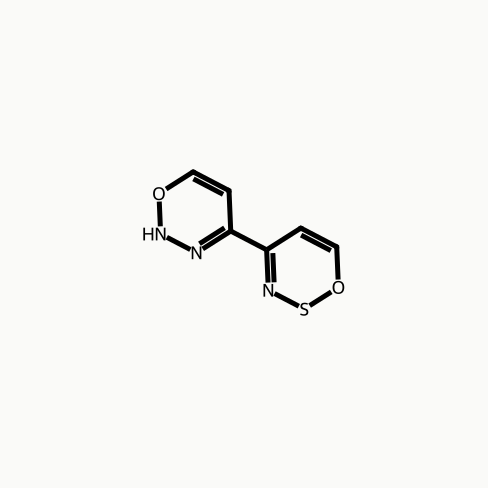 C1=CC(C2=NSOC=C2)=NNO1